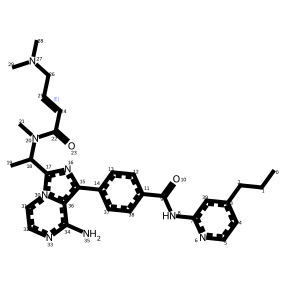 CCCc1ccnc(NC(=O)c2ccc(-c3nc(C(C)N(C)C(=O)/C=C/CN(C)C)n4ccnc(N)c34)cc2)c1